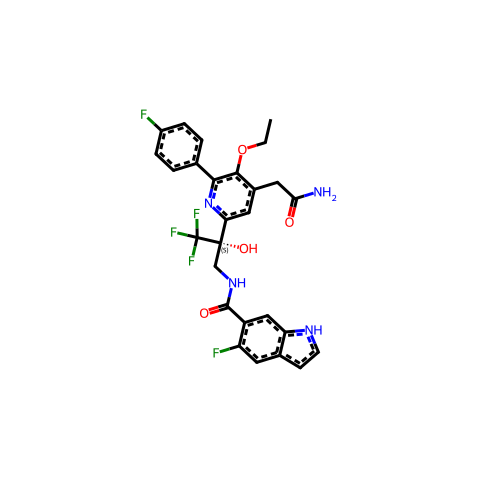 CCOc1c(CC(N)=O)cc([C@@](O)(CNC(=O)c2cc3[nH]ccc3cc2F)C(F)(F)F)nc1-c1ccc(F)cc1